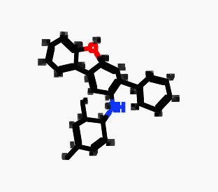 CC1=CC(C)C(Nc2cc3c(cc2-c2ccccc2)oc2ccccc23)C=C1